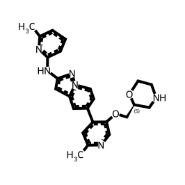 Cc1cc(-c2ccn3nc(Nc4cccc(C)n4)cc3c2)c(OC[C@@H]2CNCCO2)cn1